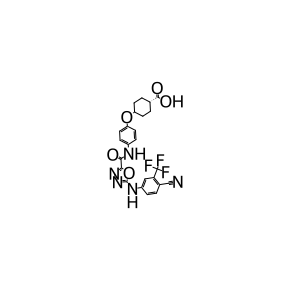 N#Cc1ccc(Nc2nnc(C(=O)Nc3ccc(O[C@H]4CC[C@@H](C(=O)O)CC4)cc3)o2)cc1C(F)(F)F